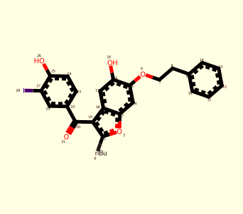 CCCCc1oc2cc(OCCc3ccccc3)c(O)cc2c1C(=O)c1ccc(O)c(I)c1